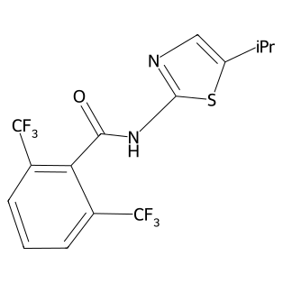 CC(C)c1cnc(NC(=O)c2c(C(F)(F)F)cccc2C(F)(F)F)s1